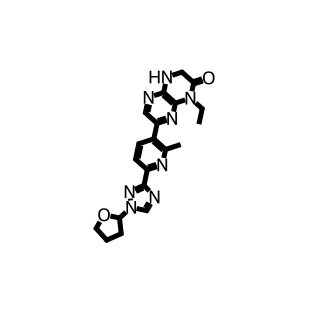 CCN1C(=O)CNc2ncc(-c3ccc(-c4ncn(C5CCCO5)n4)nc3C)nc21